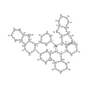 c1ccc(-c2c(N(c3cccc(-c4cccc5c4oc4ccccc45)c3)c3cccc4c3sc3ccccc34)c3ccccc3c3ccccc23)cc1